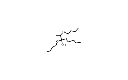 CCCCOC(C)C(O)(OCCCC)OCCCC